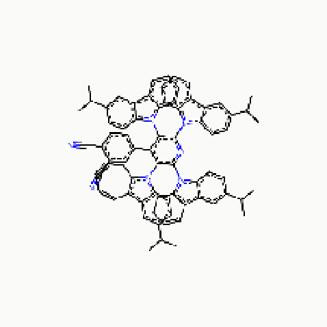 CC(C)c1ccc2c(c1)c1c(n2-c2nc(-n3c4ccccc4c4cc(C(C)C)ccc43)c(-n3c4ccccc4c4cc(C(C)C)ccc43)c(-c3ccc(C#N)c(C#N)c3)c2-n2c3c(c4cc(C(C)C)ccc42)C=CC#CC3)CCC=C1